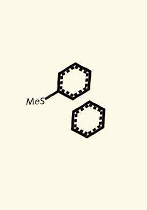 CSc1ccccc1.c1ccccc1